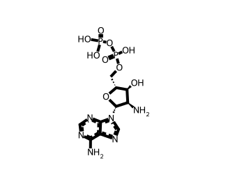 Nc1ncnc2c1ncn2[C@@H]1O[C@H](COP(=O)(O)OP(=O)(O)O)[C@@H](O)[C@H]1N